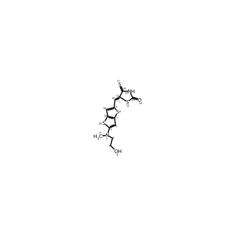 CN(CCO)c1cc2sc(/C=C3\SC(=O)NC3=S)cc2s1